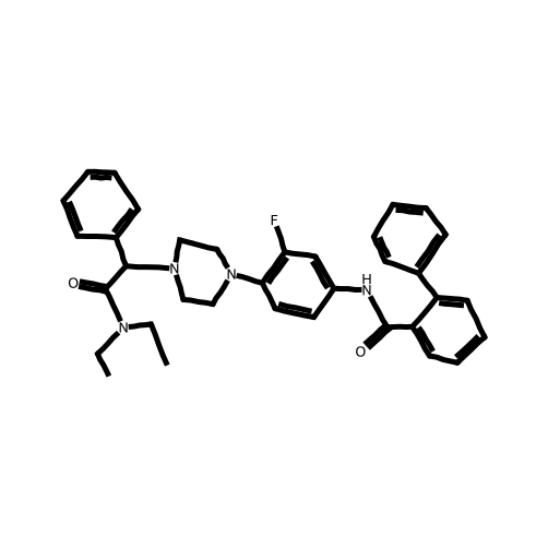 CCN(CC)C(=O)C(c1ccccc1)N1CCN(c2ccc(NC(=O)c3ccccc3-c3ccccc3)cc2F)CC1